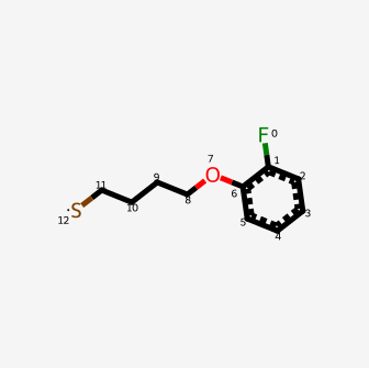 Fc1ccccc1OCCCC[S]